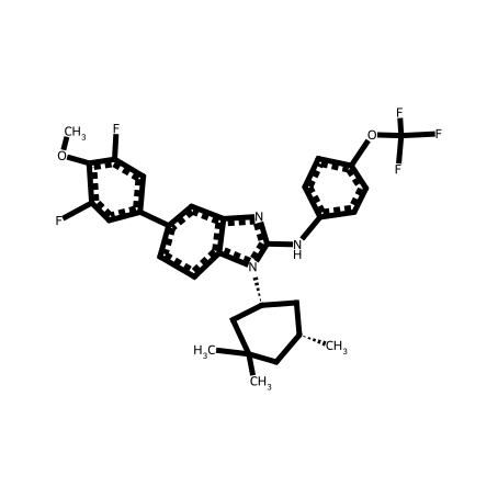 COc1c(F)cc(-c2ccc3c(c2)nc(Nc2ccc(OC(F)(F)F)cc2)n3[C@@H]2C[C@H](C)CC(C)(C)C2)cc1F